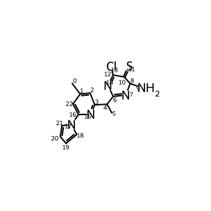 Cc1cc(C(C)C2=NC(N)C(=S)C(Cl)=N2)nc(-n2cccc2)c1